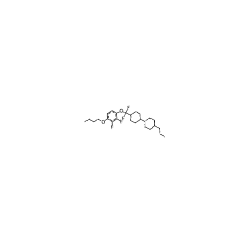 CCCCOc1ccc(OC(F)(F)C2CCC(C3CCC(CCC)CC3)CC2)c(F)c1F